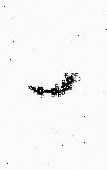 C=CCCc1ccc(C#Cc2ccc(C(F)(F)Oc3cc(F)c(-c4cc(F)c(C(F)(F)F)c(F)c4)c(F)c3)c(F)c2)cc1